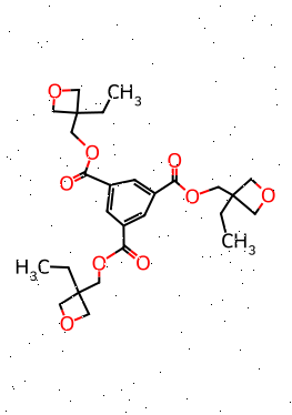 CCC1(COC(=O)c2cc(C(=O)OCC3(CC)COC3)cc(C(=O)OCC3(CC)COC3)c2)COC1